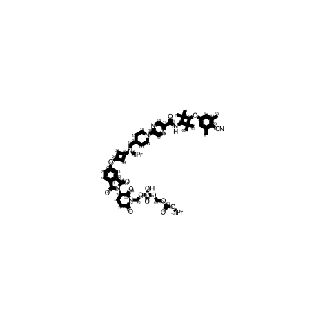 Cc1cc(OC2C(C)(C)C(NC(=O)c3cnc(N4CCC(CN(C(C)C)C5CC(Oc6ccc7c(c6)C(=O)N([C@@H]6CCC(=O)N(COP(=O)(O)OCOC(=O)OC(C)C)C6=O)C7=O)C5)CC4)cn3)C2(C)C)cc(C)c1C#N